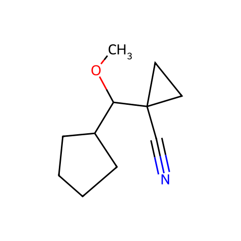 COC(C1CCCC1)C1(C#N)CC1